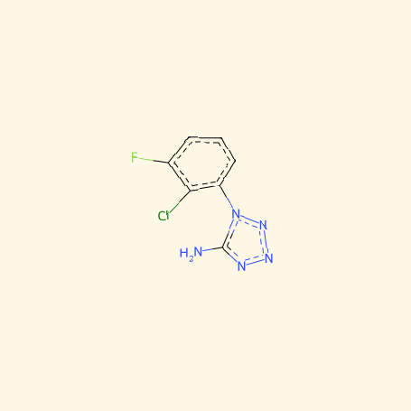 Nc1nnnn1-c1cccc(F)c1Cl